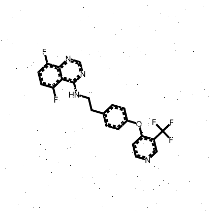 Fc1ccc(F)c2c(NCCc3ccc(Oc4ccncc4C(F)(F)F)cc3)ncnc12